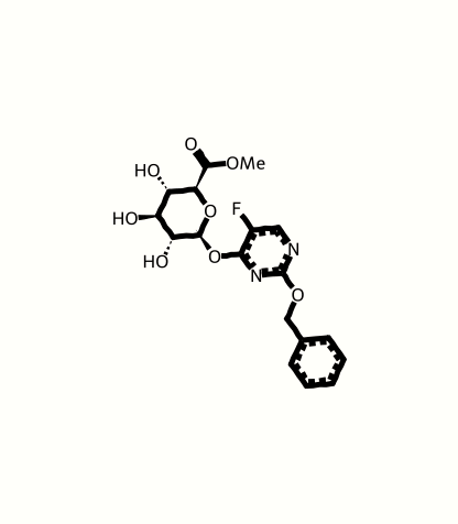 COC(=O)[C@H]1O[C@@H](Oc2nc(OCc3ccccc3)ncc2F)[C@H](O)[C@@H](O)[C@@H]1O